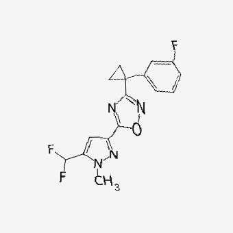 Cn1nc(-c2nc(C3(c4cccc(F)c4)CC3)no2)cc1C(F)F